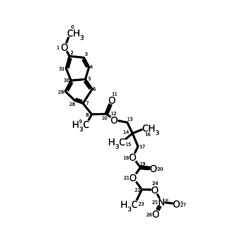 COc1ccc2cc(C(C)C(=O)OCC(C)(C)COC(=O)OC(C)O[N+](=O)[O-])ccc2c1